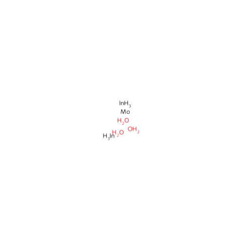 O.O.O.[InH3].[InH3].[Mo]